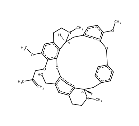 C=C(C)COc1c(OC)cc2c3c1Oc1cc4c(cc1CO)CCN(C)[C@H]4Cc1ccc(cc1)Oc1cc(ccc1OC)C[C@@H]3N(C)CC2